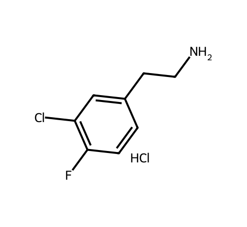 Cl.NCCc1ccc(F)c(Cl)c1